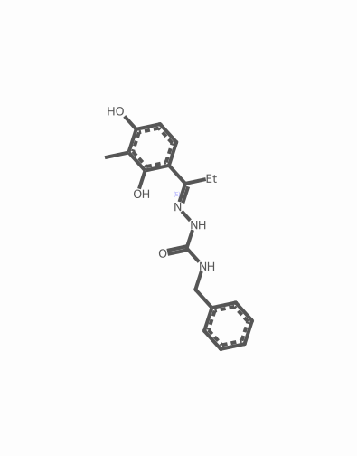 CC/C(=N\NC(=O)NCc1ccccc1)c1ccc(O)c(C)c1O